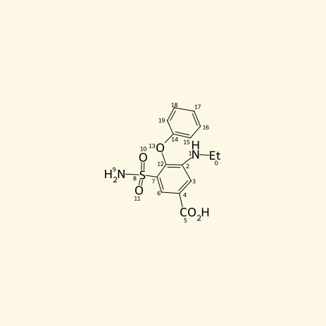 CCNc1cc(C(=O)O)cc(S(N)(=O)=O)c1Oc1ccccc1